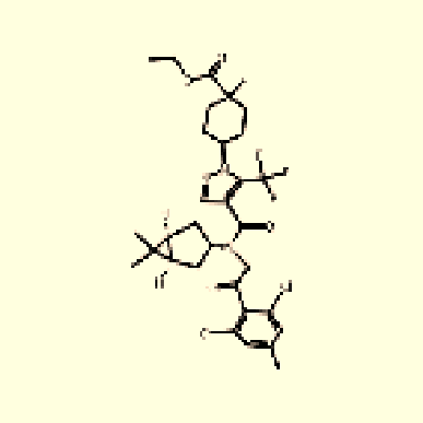 CCOC(=O)C1(C)CCC(n2ncc(C(=O)N(CC(=O)c3c(Cl)cc(C)cc3Cl)[C@H]3C[C@@H]4[C@H](C3)C4(C)C)c2C(F)(F)F)CC1